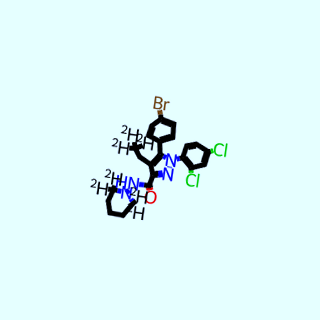 [2H]C([2H])([2H])Cc1c(C(=O)NN2C([2H])([2H])CCCC2([2H])[2H])nn(-c2ccc(Cl)cc2Cl)c1-c1ccc(Br)cc1